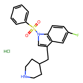 Cl.O=S(=O)(c1ccccc1)n1cc(CC2CCNCC2)c2cc(F)ccc21